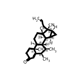 C=CC[C@]1(C#N)[C@H]2C[C@H]2[C@H]2[C@@H]3[C@@H](C)[C@@H](C)C4=CC(=O)CC[C@]4(C)[C@H]3CC[C@@]21C